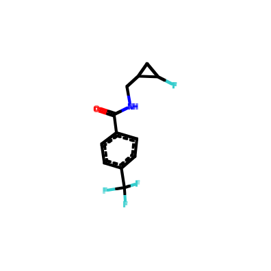 O=C(NCC1CC1F)c1ccc(C(F)(F)F)cc1